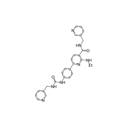 CCNc1nc(-c2ccc(NC(=O)NCc3cccnc3)cc2)ccc1C(=O)NCc1cccnc1